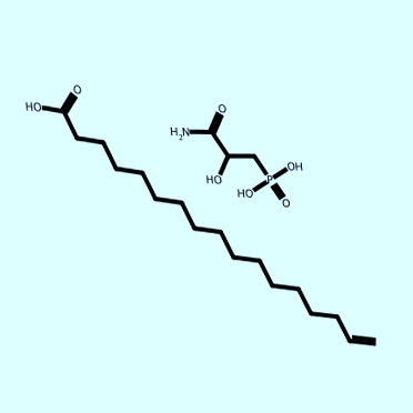 C=CCCCCCCCCCCCCCCC(=O)O.NC(=O)C(O)CP(=O)(O)O